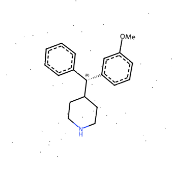 COc1cccc([C@@H](c2ccccc2)C2CCNCC2)c1